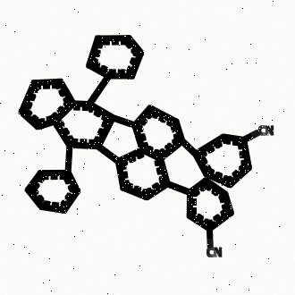 N#Cc1cccc(-c2ccc3c4c(ccc(-c5cccc(C#N)c5)c24)-c2c-3c(-c3ccccc3)c3ccccc3c2-c2ccccc2)c1